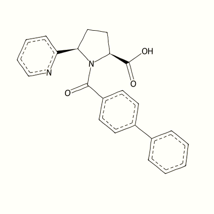 O=C(O)[C@@H]1CC[C@H](c2ccccn2)N1C(=O)c1ccc(-c2ccccc2)cc1